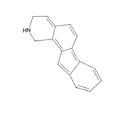 C1=c2ccc3c(c2CNC1)C=c1ccccc1=3